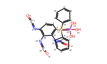 O=C=Nc1ccc([SH](c2ccccc2)(c2ccccc2)=P(O)(O)O)c(N=C=O)c1N=C=O